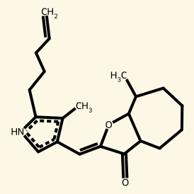 C=CCCCc1[nH]cc(/C=C2\OC3C(C)CCCCC3C2=O)c1C